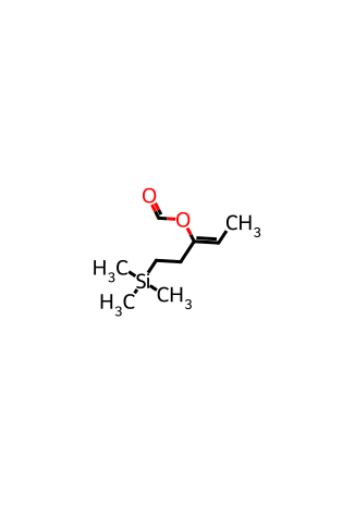 CC=C(CC[Si](C)(C)C)OC=O